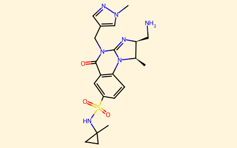 C[C@@H]1[C@H](CN)N=C2N(Cc3cnn(C)c3)C(=O)c3cc(S(=O)(=O)NC4(C)CC4)ccc3N21